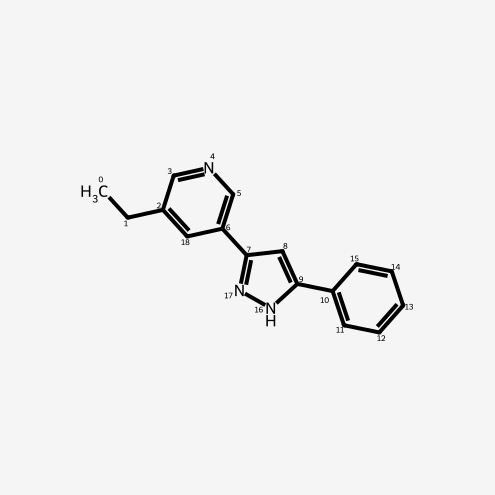 CCc1cncc(-c2cc(-c3ccccc3)[nH]n2)c1